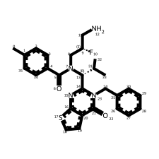 Cc1ccc(C(=O)N(C[C@@H](F)CN)[C@@H](c2nc3sccc3c(=O)n2Cc2ccccc2)C(C)C)cc1